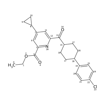 CCOC(=O)c1cc(C2CC2)cc(C(=O)C2CCC(c3ccc(Cl)cc3)CC2)n1